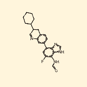 O=CNc1c(F)cc(-c2ccc3c(c2)N=CC(C2CCCCC2)C3)c2nc[nH]c12